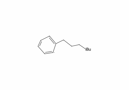 C[CH]C(C)CCCc1[c]cccc1